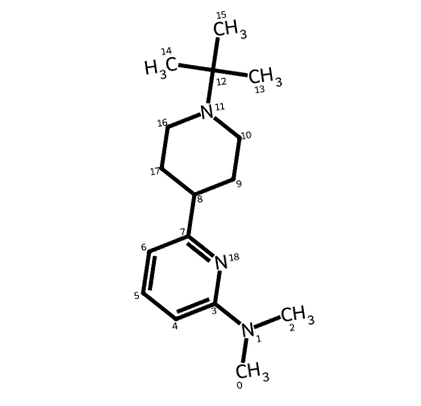 CN(C)c1cccc(C2CCN(C(C)(C)C)CC2)n1